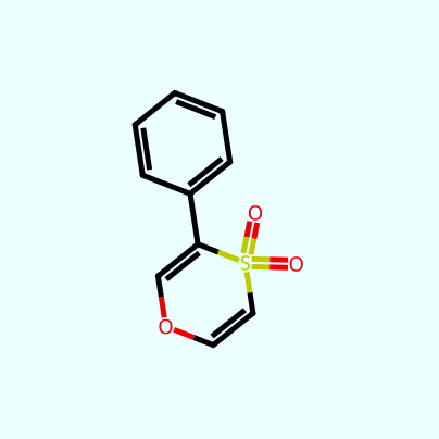 O=S1(=O)C=COC=C1c1ccccc1